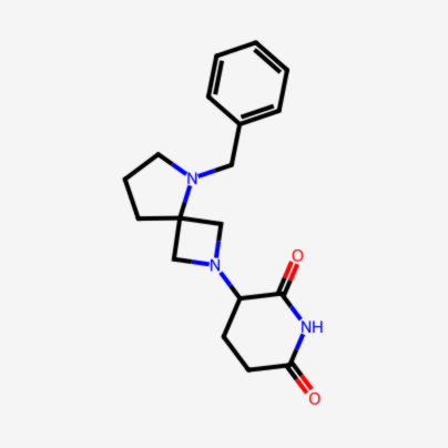 O=C1CCC(N2CC3(CCCN3Cc3ccccc3)C2)C(=O)N1